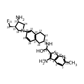 Cc1ccc2c(N)c(C(O)N[C@H]3CCc4cc(N5C[C@@H](CF)[C@@H](N)C5)ccc4C3)sc2n1